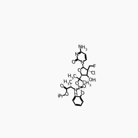 CC(C)OC(=O)[C@H](C)NP(=O)(Oc1ccccc1)OC(C)(C)[C@H]1O[C@@H](n2ccc(N)nc2=O)[C@@](Cl)(CF)C1O